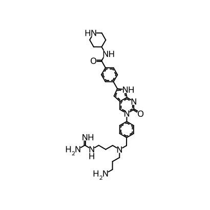 N=C(N)NCCCN(CCCN)Cc1ccc(-n2cc3cc(-c4ccc(C(=O)NC5CCNCC5)cc4)[nH]c3nc2=O)cc1